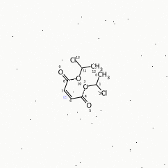 CC(Cl)OC(=O)/C=C\C(=O)OC(C)Cl